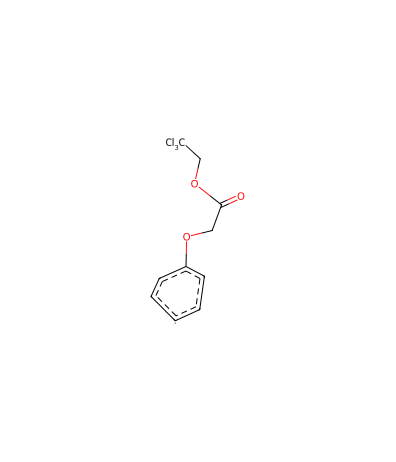 O=C(COc1cc[c]cc1)OCC(Cl)(Cl)Cl